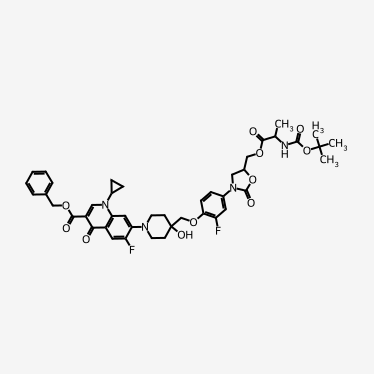 CC(NC(=O)OC(C)(C)C)C(=O)OCC1CN(c2ccc(OCC3(O)CCN(c4cc5c(cc4F)c(=O)c(C(=O)OCc4ccccc4)cn5C4CC4)CC3)c(F)c2)C(=O)O1